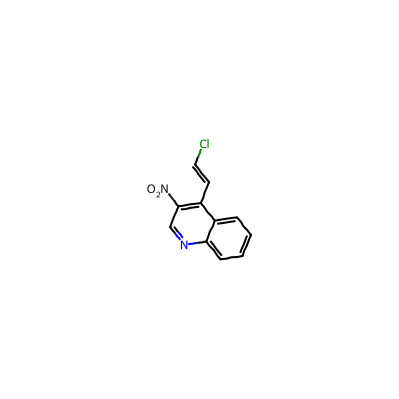 O=[N+]([O-])c1cnc2ccccc2c1/C=C/Cl